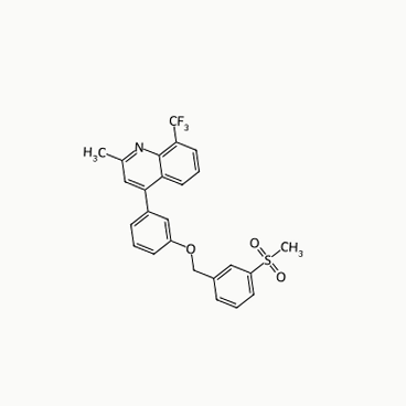 Cc1cc(-c2cccc(OCc3cccc(S(C)(=O)=O)c3)c2)c2cccc(C(F)(F)F)c2n1